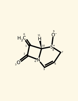 C=C1C(=O)N2C=CC[S+]([O-])[C@@H]12